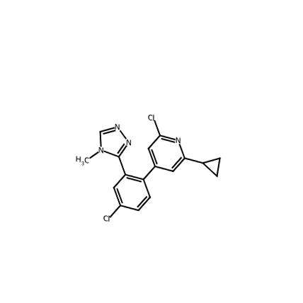 Cn1cnnc1-c1cc(Cl)ccc1-c1cc(Cl)nc(C2CC2)c1